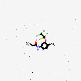 Cc1ccc(NC(=O)C[N+](=O)[O-])cc1OC(F)(F)C(F)F